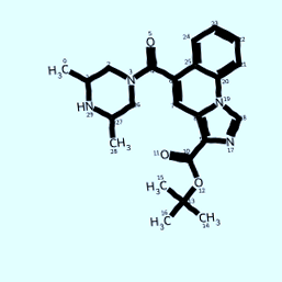 CC1CN(C(=O)c2cc3c(C(=O)OC(C)(C)C)ncn3c3ccccc23)CC(C)N1